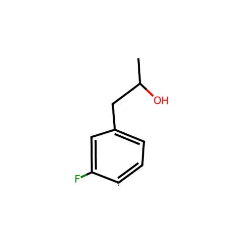 CC(O)Cc1cc[c]c(F)c1